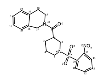 O=C(C1CCCN(S(=O)(=O)c2ccccc2[N+](=O)[O-])C1)N1CCc2ccccc2C1